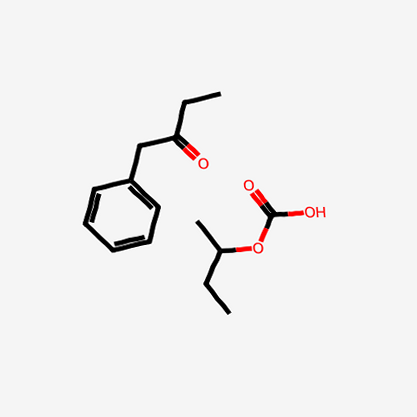 CCC(=O)Cc1ccccc1.CCC(C)OC(=O)O